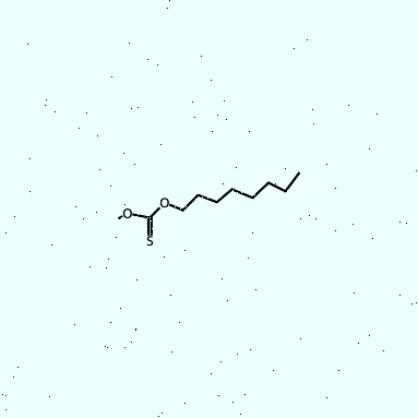 CCCCCCCCOC(=S)OC